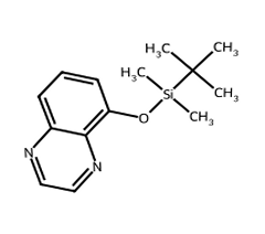 CC(C)(C)[Si](C)(C)Oc1cccc2nccnc12